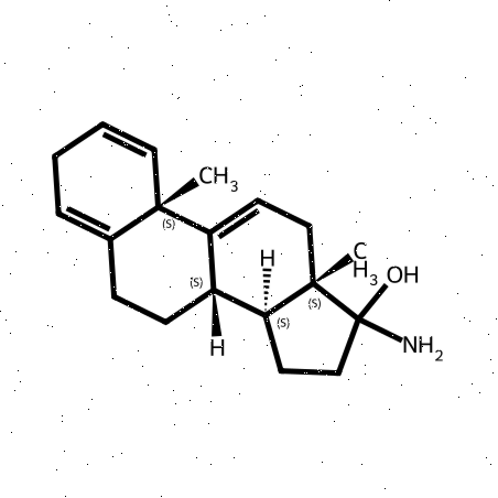 C[C@]12C=CCC=C1CC[C@@H]1C2=CC[C@@]2(C)[C@H]1CCC2(N)O